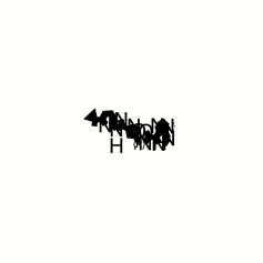 C[C@@H](NC(=O)c1ncnc2c1ncn2C)c1cc(-c2nc3ccc(C4(C)CC4)nc3[nH]2)no1